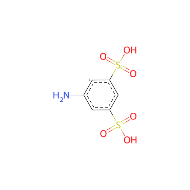 Nc1[c]c(S(=O)(=O)O)cc(S(=O)(=O)O)c1